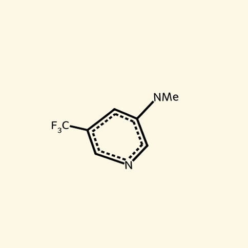 CNc1cncc(C(F)(F)F)c1